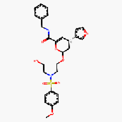 COc1ccc(S(=O)(=O)N(CCO)CCOC2C[C@@H](c3ccoc3)C=C(C(=O)NCc3ccccc3)O2)cc1